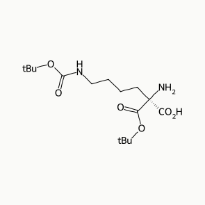 CC(C)(C)OC(=O)NCCCC[C@](N)(C(=O)O)C(=O)OC(C)(C)C